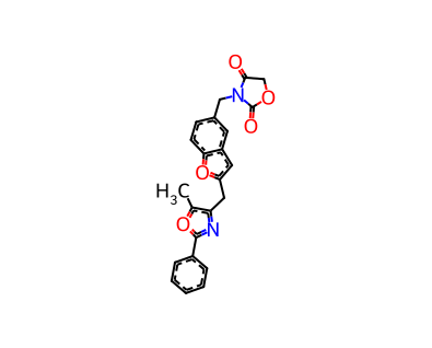 Cc1oc(-c2ccccc2)nc1Cc1cc2cc(CN3C(=O)COC3=O)ccc2o1